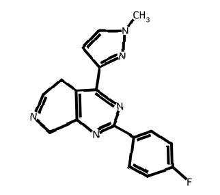 Cn1ccc(-c2nc(-c3ccc(F)cc3)nc3c2CC=NC3)n1